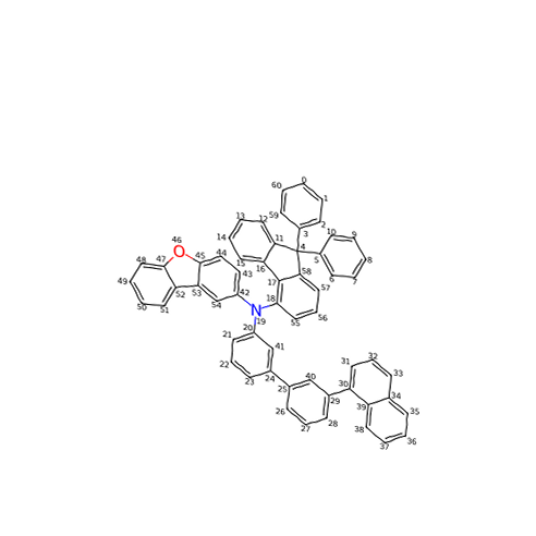 c1ccc(C2(c3ccccc3)c3ccccc3-c3c(N(c4cccc(-c5cccc(-c6cccc7ccccc67)c5)c4)c4ccc5oc6ccccc6c5c4)cccc32)cc1